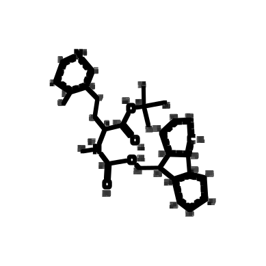 Cc1ccncc1CCC(C(=O)OC(C)(C)C)N(C)C(=O)OCC1c2ccccc2-c2ccccc21